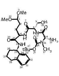 COC(CCC(NC(=O)[C@H](CO)NC(=O)[C@H](N)N(C)C(=O)OC(C)(C)C)C(=O)N[C@@H]1CCCc2ccccc21)OC